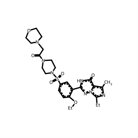 CCOc1ccc(S(=O)(=O)N2CCN(C(=O)CN3CCOCC3)CC2)cc1-c1nn2c(CC)nc(C)c2c(=O)[nH]1